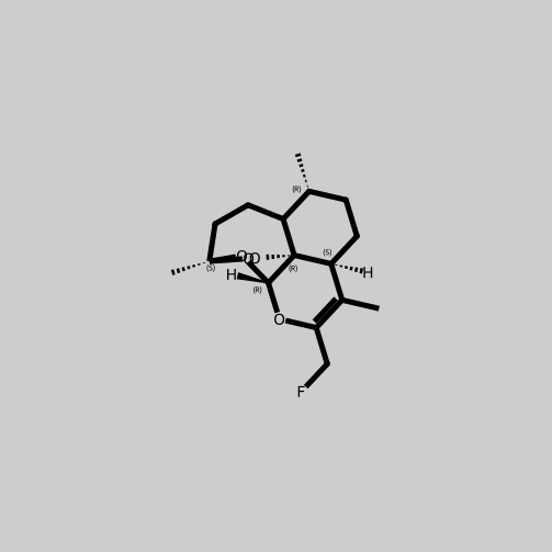 CC1=C(CF)O[C@@H]2O[C@]3(C)CCC4[C@H](C)CC[C@@H]1[C@]42OO3